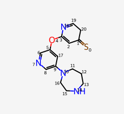 S=C1C=C(Oc2cncc(N3CCCNCC3)c2)N=CC1